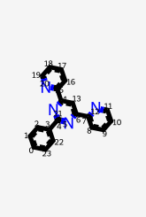 c1ccc(-c2nc(-c3ccccn3)cc(-c3ccccn3)n2)cc1